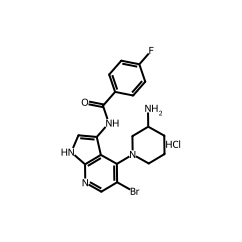 Cl.NC1CCCN(c2c(Br)cnc3[nH]cc(NC(=O)c4ccc(F)cc4)c23)C1